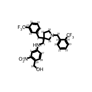 O=[N+]([O-])c1cc(NCC2(Cc3cccc(C(F)(F)F)c3)CCN(Cc3ccccc3C(F)(F)F)C2)ccc1CO